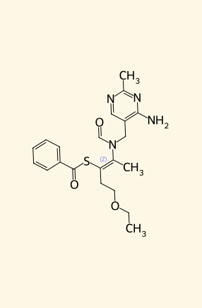 CCOCC/C(SC(=O)c1ccccc1)=C(\C)N(C=O)Cc1cnc(C)nc1N